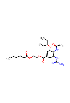 CCCCCC(=O)OCCOC(=O)C1=CC(OC(CC)CC)C(NC(C)=O)C(NC(=N)N)C1